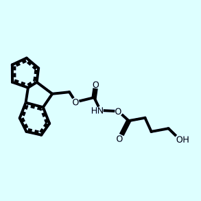 O=C(CCCO)ONC(=O)OCC1c2ccccc2-c2ccccc21